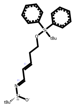 CC(C)(C)[S@@+]([O-])/N=C/C=C/CCO[Si](c1ccccc1)(c1ccccc1)C(C)(C)C